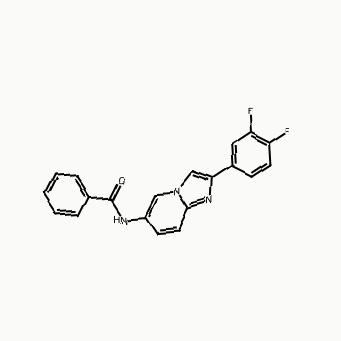 O=C(Nc1ccc2nc(-c3ccc(F)c(F)c3)cn2c1)c1ccccc1